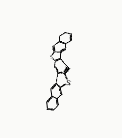 C1=Cc2cc3c(cc2CC1)sc1cc2c(cc13)sc1cc3ccccc3cc12